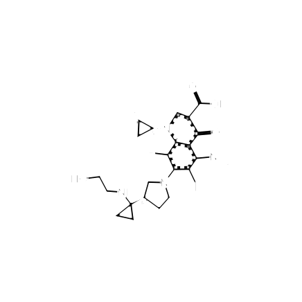 Nc1c(F)c(N2CC[C@@H](C3(NCCO)CC3)C2)c(F)c2c1c(=O)c(C(=O)O)cn2[C@@H]1C[C@@H]1F